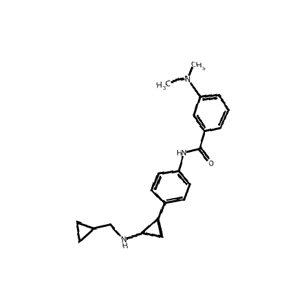 CN(C)c1cccc(C(=O)Nc2ccc(C3CC3NCC3CC3)cc2)c1